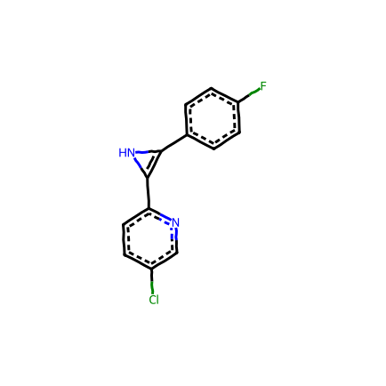 Fc1ccc(C2=C(c3ccc(Cl)cn3)N2)cc1